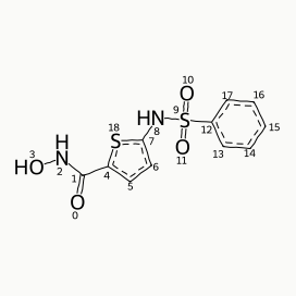 O=C(NO)c1ccc(NS(=O)(=O)c2ccccc2)s1